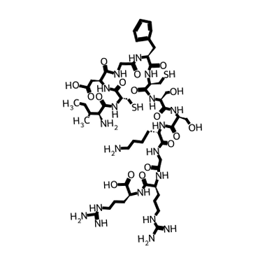 CC[C@H](C)[C@H](N)C(=O)N[C@@H](CS)C(=O)N[C@@H](CC(=O)O)C(=O)NCC(=O)N[C@@H](Cc1ccccc1)C(=O)N[C@@H](CS)C(=O)N[C@@H](CO)C(=O)N[C@@H](CO)C(=O)N[C@@H](CCCCN)C(=O)NCC(=O)N[C@@H](CCCNC(=N)N)C(=O)N[C@@H](CCCNC(=N)N)C(=O)O